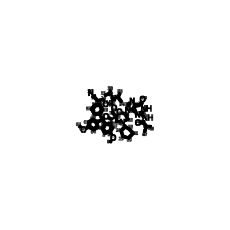 COc1ccc(C(OC[C@]2(COP(OCCC#N)N(C(C)C)C(C)C)CN(C3CCCCC3)C[C@H](n3cnc4c(=O)[nH]c(NC(=O)C(C)C)nc43)O2)(c2ccccc2)c2ccc(OC)cc2)cc1